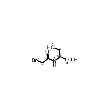 O=C(CBr)N[C@@H](CO)C(=O)O